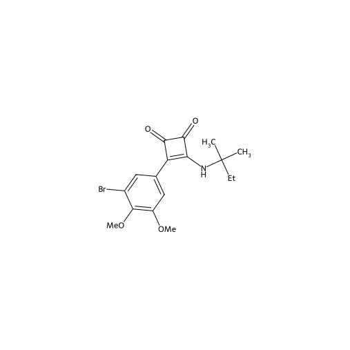 CCC(C)(C)Nc1c(-c2cc(Br)c(OC)c(OC)c2)c(=O)c1=O